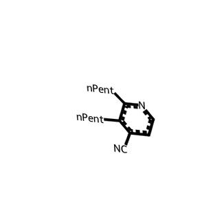 CCCCCc1nccc(C#N)c1CCCCC